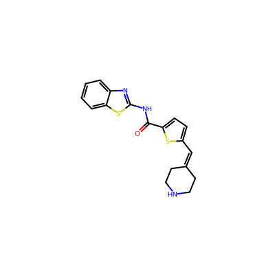 O=C(Nc1nc2ccccc2s1)c1ccc(C=C2CCNCC2)s1